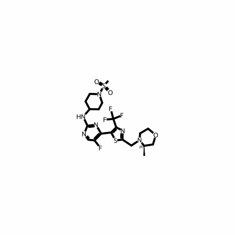 C[C@@H]1COCCN1Cc1nc(C(F)(F)F)c(-c2nc(NC3CCN(S(C)(=O)=O)CC3)ncc2F)s1